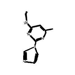 CNc1cc(C)nc(-n2ccnc2)n1